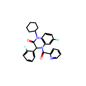 O=C(NC1CCCCC1)C(c1ccccc1F)N(C(=O)c1ccccn1)c1cccc(F)c1